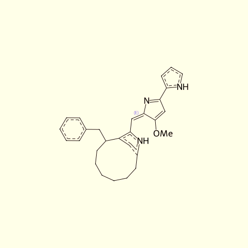 COC1=CC(c2ccc[nH]2)=N/C1=C/c1[nH]c2cc1C(Cc1ccccc1)CCCCCC2